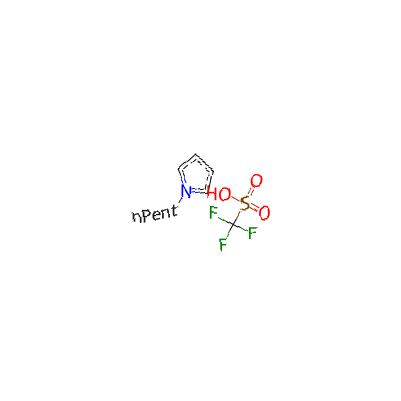 CCCCCn1cccc1.O=S(=O)(O)C(F)(F)F